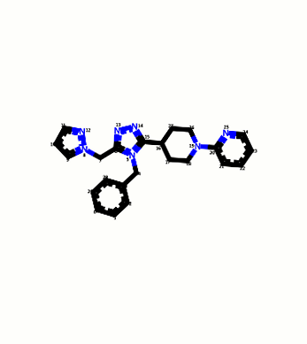 c1ccc(Cn2c(Cn3cccn3)nnc2C2CCN(c3ccccn3)CC2)cc1